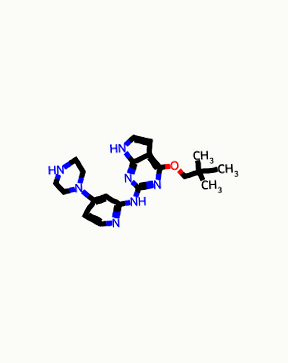 CC(C)(C)COc1nc(Nc2cc(N3CCNCC3)ccn2)nc2[nH]ccc12